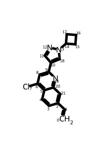 C=Cc1ccc2c(Cl)cc(-c3cnn(C4CCC4)c3)nc2c1